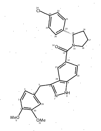 COc1ccc(Cc2n[nH]c3ccc(C(=O)N4CCC[C@H]4c4ccc(Cl)cc4)cc23)cc1OC